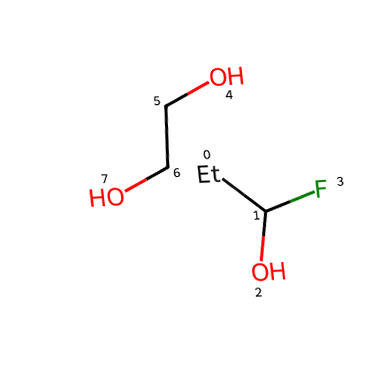 CCC(O)F.OCCO